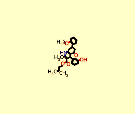 C=C(C)CCOC(=O)C1=C(C)NC2=C(C(=O)CC(c3ccccc3OC)C2)C1c1cccc(O)c1